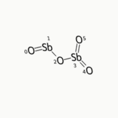 [O]=[Sb][O][Sb](=[O])=[O]